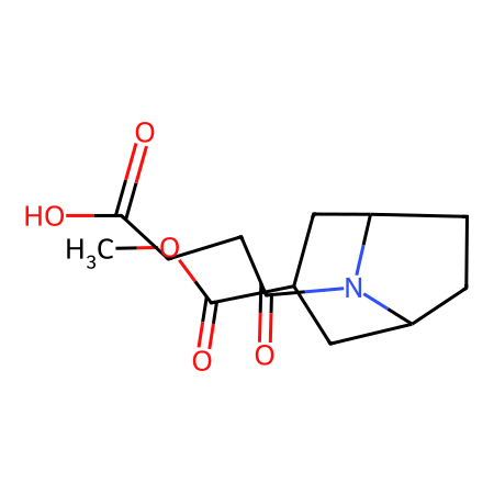 COC(=O)C1CC2CCC(C1)N2C(=O)CCC(=O)O